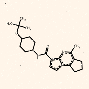 Cc1nc2c(C(=O)NC3CCC(OC(C)(C)C)CC3)ccn2c2c1CCC2